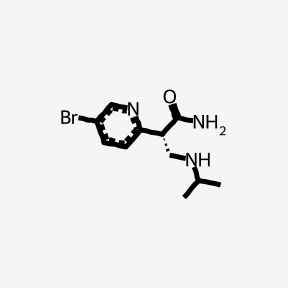 CC(C)NC[C@@H](C(N)=O)c1ccc(Br)cn1